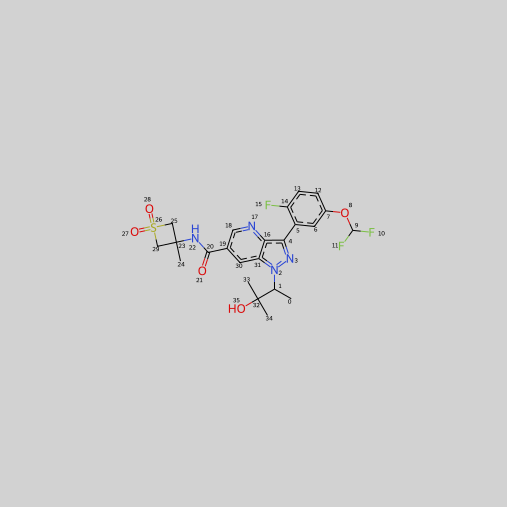 CC(n1nc(-c2cc(OC(F)F)ccc2F)c2ncc(C(=O)NC3(C)CS(=O)(=O)C3)cc21)C(C)(C)O